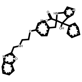 COC(=O)C1(Cc2ccc(OCCNCc3nc4ccccc4o3)cc2)Nc2cscc2C1(O)c1ccccc1